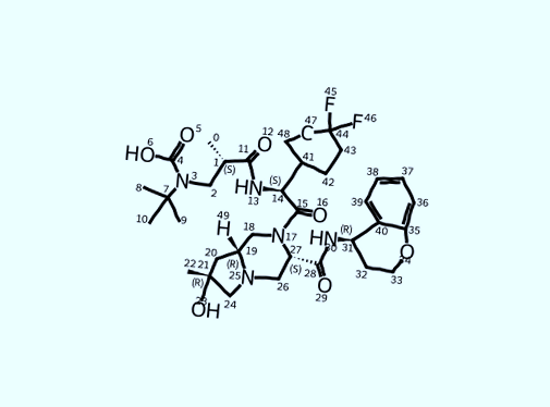 C[C@@H](CN(C(=O)O)C(C)(C)C)C(=O)N[C@H](C(=O)N1C[C@H]2C[C@@](C)(O)CN2C[C@H]1C(=O)N[C@@H]1CCOc2ccccc21)C1CCC(F)(F)CC1